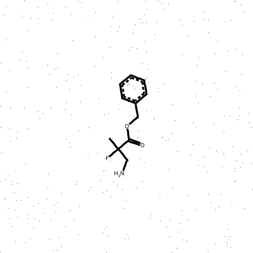 CC(F)(CN)C(=O)OCc1ccccc1